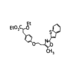 CCOC(=O)[C@H](Cc1ccc(OCCc2nc(-c3cc4ccccc4s3)oc2C)cc1)OCC